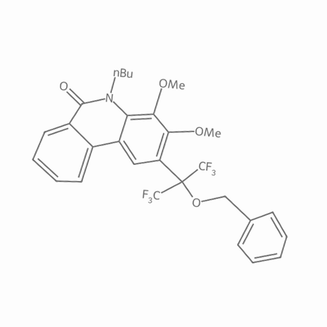 CCCCn1c(=O)c2ccccc2c2cc(C(OCc3ccccc3)(C(F)(F)F)C(F)(F)F)c(OC)c(OC)c21